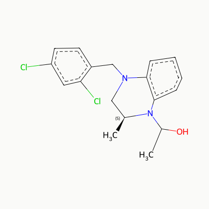 CC(O)N1c2ccccc2N(Cc2ccc(Cl)cc2Cl)C[C@@H]1C